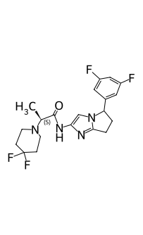 C[C@@H](C(=O)Nc1cn2c(n1)CCC2c1cc(F)cc(F)c1)N1CCC(F)(F)CC1